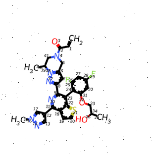 C=CC(=O)N1Cc2cc(-c3nc(-c4cnn(C)c4)c4ccsc4c3-c3c(F)cc(F)cc3OCC(C)O)nn2C(C)C1